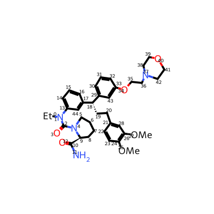 CCN(C(=O)N1CCCC[C@H]1C(N)=O)c1cccc([C@@H](CCc2ccc(OC)c(OC)c2)c2cccc(OCCN3CCOCC3)c2)c1